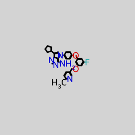 Cc1ccc(COc2cc(F)cc(Oc3ccc(-n4cc(C5CCCC5)c5ncnc(N)c54)cc3)c2)cn1